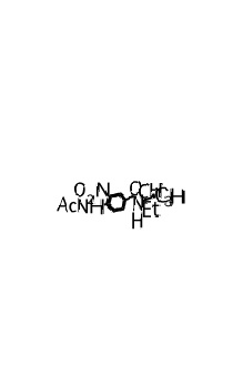 C#CC(C)(CC)NC(=O)c1ccc(NC(C)=O)c([N+](=O)[O-])c1